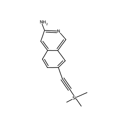 C[Si](C)(C)C#Cc1ccc2cc(N)ncc2c1